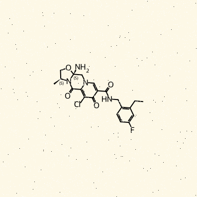 CCc1cc(F)ccc1CNC(=O)c1cn2c(c(Cl)c1=O)C(=O)N1[C@@H](C)CO[C@]1(N)C2